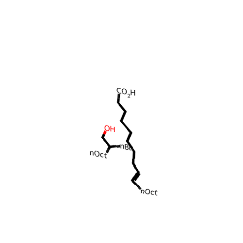 CCCCCCCCC(CO)CCCC.CCCCCCCCC=CCCCCCCCC(=O)O